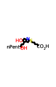 CCCCC[C@H](O)C=CC1C(O)CC2N=C(SCC=CCC(=O)O)CC21